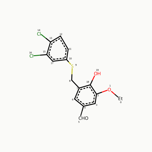 CCOc1cc(C=O)cc(CSc2ccc(Cl)c(Cl)c2)c1O